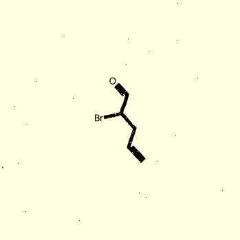 C=CCC(Br)C=O